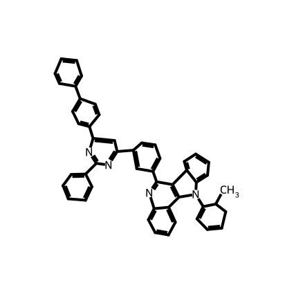 CC1CC=CC=C1n1c2ccccc2c2c(-c3cccc(-c4cc(-c5ccc(-c6ccccc6)cc5)nc(-c5ccccc5)n4)c3)nc3ccccc3c21